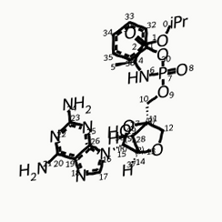 CC(C)OC(=O)[C@H](C)NP(=O)(OC[C@@]12CO[C@@H]([C@H](n3cnc4c(N)nc(N)nc43)O1)[C@@H]2O)Oc1ccccc1